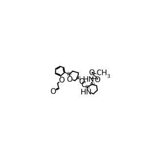 CS(=O)(=O)N[C@H]1CCCN[C@H]1CO[C@@H]1CC[C@H](c2ccccc2OCC=O)OC1